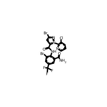 NC(=O)c1cc(C(F)(F)F)cc(Br)c1NC(=O)c1cc(Br)nn1-c1ncccc1Cl